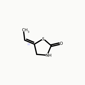 C/C=C1/CNC(=O)S1